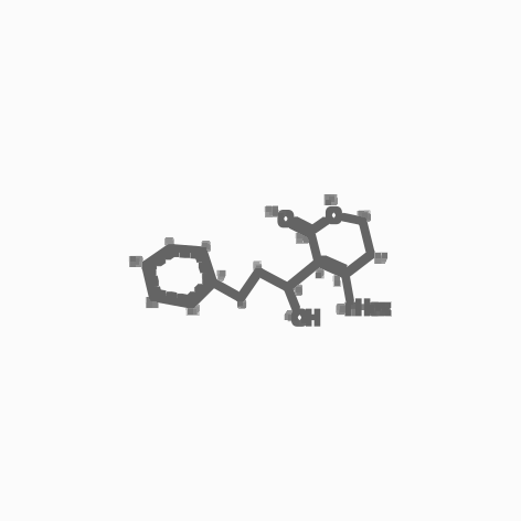 CCCCCCC1=C(C(O)CCc2ccccc2)C(=O)OCC1